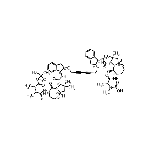 CC(C(=O)N[C@H]1CCS[C@H]2CC(C)(C)[C@@H](C(=O)N[C@H]3c4ccccc4C[C@H]3OCC#CC#CCO[C@@H]3Cc4ccccc4[C@@H]3NC(=O)[C@H]3N4C(=O)[C@@H](NC(=S)C(C)N(C)C(=O)OC(C)(C)C)CCS[C@H]4CC3(C)C)N2C1=O)N(C)C(=O)O